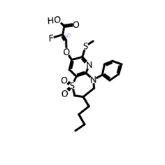 CCCCC1CN(c2ccccc2)c2nc(SC)c(O/C=C(\F)C(=O)O)cc2S(=O)(=O)C1